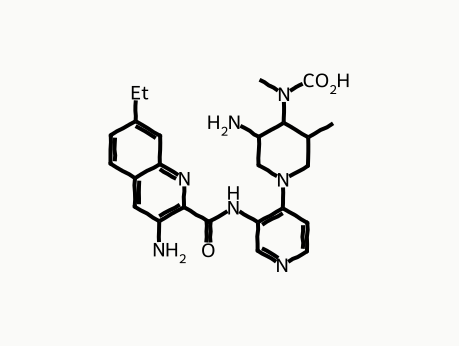 CCc1ccc2cc(N)c(C(=O)Nc3cnccc3N3CC(C)C(N(C)C(=O)O)C(N)C3)nc2c1